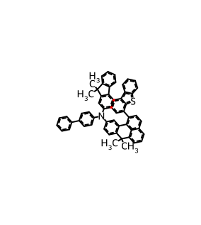 CC1(C)c2ccccc2-c2ccc(N(c3ccc(-c4ccccc4)cc3)c3ccc4c(c3)-c3c(-c5cccc6c5sc5ccccc56)ccc5cccc(c35)C4(C)C)cc21